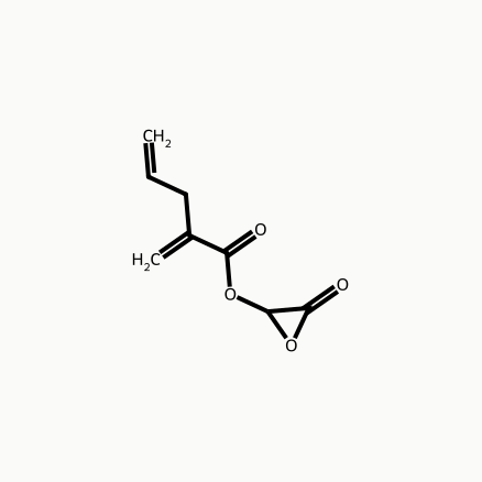 C=CCC(=C)C(=O)OC1OC1=O